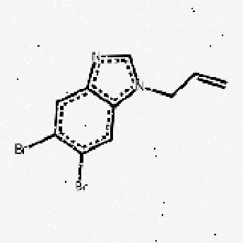 C=CCn1cnc2cc(Br)c(Br)cc21